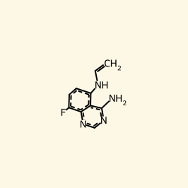 C=CNc1ccc(F)c2ncnc(N)c12